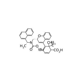 C[C@H](c1cccc2ccccc12)N(C[C@H]1C=C(C2=CC=CC(C(=O)O)C2(C)C)c2ccccc2O1)C(=O)OC(C)(C)C